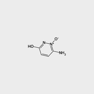 Nc1ccc(O)n[n+]1[O-]